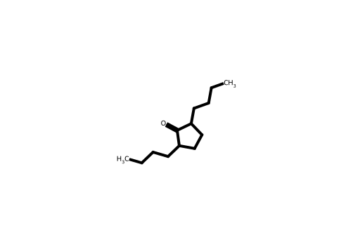 CCCCC1CCC(CCCC)C1=O